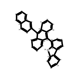 c1ccc2cc(-c3c4ccccc4c(-c4cccc5c4oc4ccccc45)c4ccccc34)ccc2c1